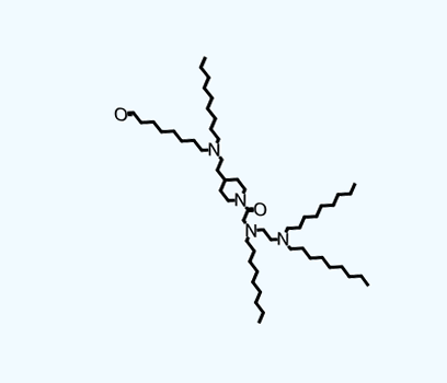 CCCCCCCCCN(CCCCCCCC=O)CCC1CCN(C(=O)CN(CCCCCCCCC)CCN(CCCCCCCCC)CCCCCCCCC)CC1